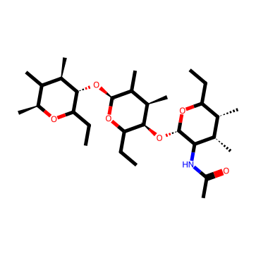 CCC1O[C@@H](C)C(C)[C@@H](C)[C@@H]1O[C@@H]1OC(CC)[C@H](O[C@@H]2OC(CC)[C@H](C)[C@H](C)C2NC(C)=O)[C@H](C)C1C